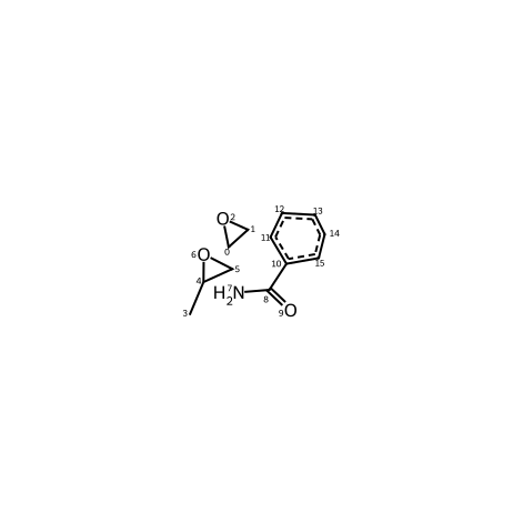 C1CO1.CC1CO1.NC(=O)c1ccccc1